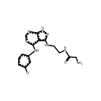 NCC(=O)NCCNc1n[nH]c2ncnc(Nc3cccc(Cl)c3)c12